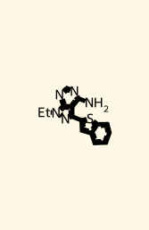 [CH2]Cn1nc(-c2cc3ccccc3s2)c2c(N)ncnc21